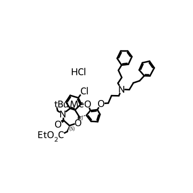 CCOC(=O)C[C@@H]1O[C@@H](c2cccc(OCCCN(CCCc3ccccc3)CCCc3ccccc3)c2OC)c2cc(Cl)ccc2N(CC(C)(C)C)C1=O.Cl